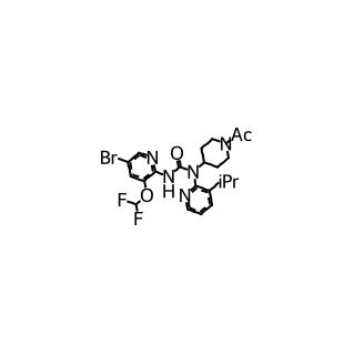 CC(=O)N1CCC(N(C(=O)Nc2ncc(Br)cc2OC(F)F)c2ncccc2C(C)C)CC1